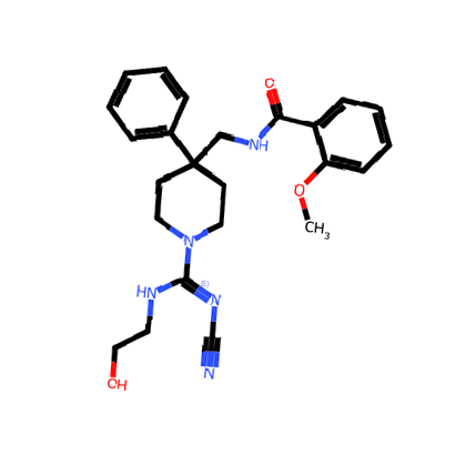 COc1ccccc1C(=O)NCC1(c2ccccc2)CCN(/C(=N/C#N)NCCO)CC1